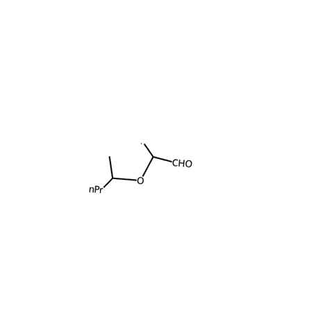 [CH2]C(C=O)OC(C)CCC